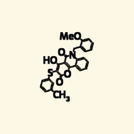 COc1ccccc1Cn1c(=O)c2c(O)c(Sc3cccc(C)c3)c(=O)oc2c2ccccc21